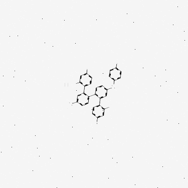 Cc1ccc(Nc2ccc(-c3ccc(N)cc3-c3ccc(C)cc3C)c(-c3ccc(C)cc3C)c2)cc1